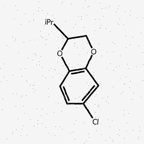 CC(C)C1COc2cc(Cl)ccc2O1